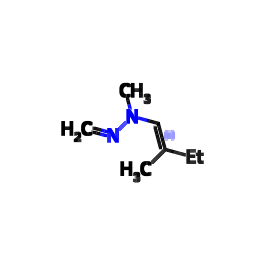 C=NN(C)/C=C(\C)CC